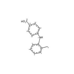 Cc1ccccc1Nc1ccc(C(=O)O)cc1